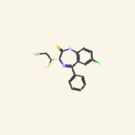 CCC(S)[C@H]1N=C(c2ccccc2)c2cc(Cl)ccc2NC1=S